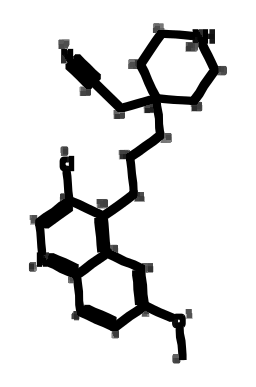 COc1ccc2ncc(Cl)c(CCCC3(CC#N)CCNCC3)c2c1